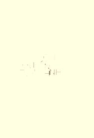 N.N.O.O=CO